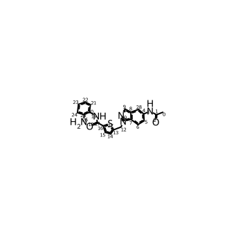 CC(=O)Nc1ccc2c(cnn2Cc2ccc(C(=O)Nc3ccccc3N)s2)c1